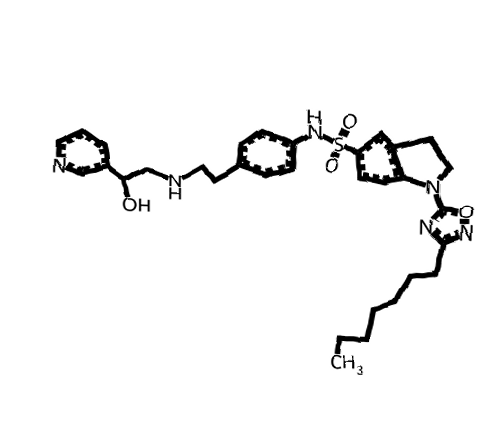 CCCCCCCc1noc(N2CCc3cc(S(=O)(=O)Nc4ccc(CCNCC(O)c5cccnc5)cc4)ccc32)n1